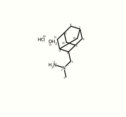 CN(N)CC1C2CC3CC(C2)CC1C3.Cl.O